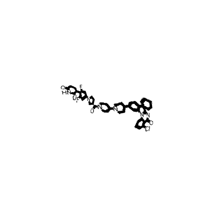 O=C1CCC(c2c(F)cc(N3CC[C@@H](C(=O)N4CCC(N5CCC(c6ccc7c(c6)-n6c(nc(=O)c8c(Cl)cccc86)C76CCCCC6)CC5)CC4)C3)cc2F)C(=O)N1